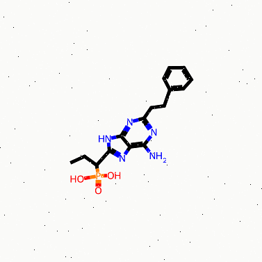 CCC(c1nc2c(N)nc(CCc3ccccc3)nc2[nH]1)P(=O)(O)O